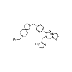 CC(C)CN1CCC2(CC1)CCN(Cc1ccc(C(=O)N(Cc3ncc[nH]3)Cc3ncc[nH]3)cc1)C2